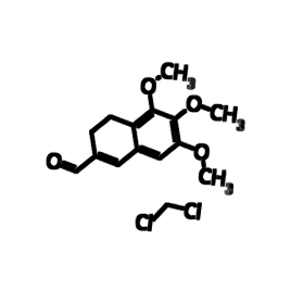 COc1cc2c(c(OC)c1OC)CCC(C=O)=C2.ClCCl